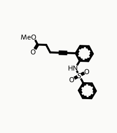 COC(=O)CCC#Cc1ccccc1NS(=O)(=O)c1ccccc1